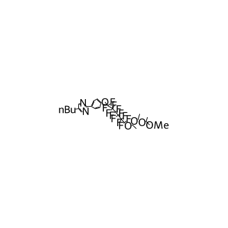 CCCCc1cnc(-c2ccc(OC(F)(F)C(F)(F)C(F)(F)C(F)(F)C(F)(F)C(F)(F)OC(C)OC(C)OC(C)OC)cc2)nc1